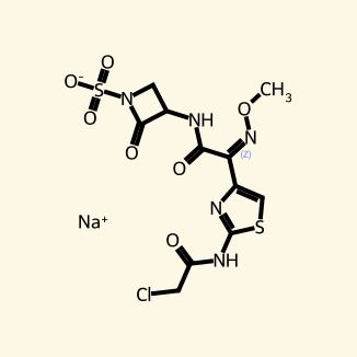 CO/N=C(\C(=O)NC1CN(S(=O)(=O)[O-])C1=O)c1csc(NC(=O)CCl)n1.[Na+]